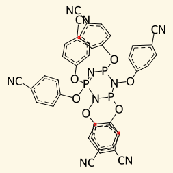 N#Cc1ccc(ON2P(Oc3ccc(C#N)cc3)N=P(Oc3ccc(C#N)cc3)(Oc3ccc(C#N)cc3)N(Oc3ccc(C#N)cc3)P2Oc2ccc(C#N)cc2)cc1